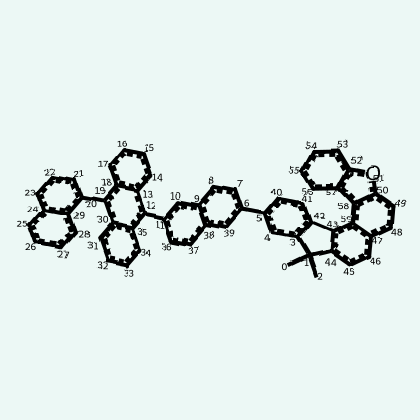 CC1(C)c2cc(-c3ccc4cc(-c5c6ccccc6c(-c6cccc7ccccc67)c6ccccc56)ccc4c3)ccc2-c2c1ccc1ccc3oc4ccccc4c3c21